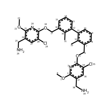 COc1nc(OCc2cccc(-c3cccc(COc4nc(OC)c(CN)cc4Cl)c3C)c2C)c(Cl)cc1CN